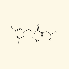 O=C(O)CNC(=O)[C@H](CS)Cc1cc(F)cc(F)c1